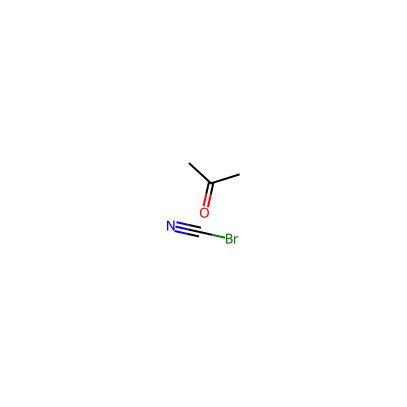 CC(C)=O.N#CBr